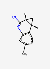 Cc1ccc2c(c1)N=C(N)[C@@H]1C[C@H]21